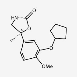 COc1ccc([C@@]2(C)CNC(=O)O2)cc1OC1CCCC1